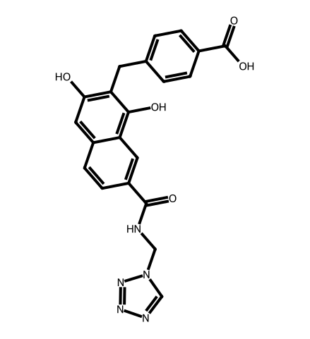 O=C(O)c1ccc(Cc2c(O)cc3ccc(C(=O)NCn4cnnn4)cc3c2O)cc1